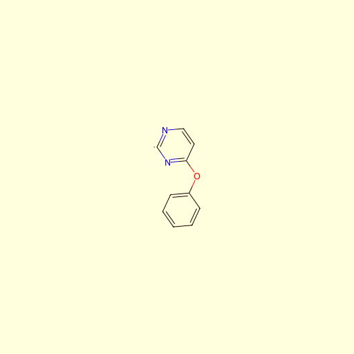 [c]1nccc(Oc2ccccc2)n1